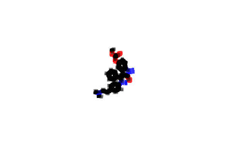 COC(=O)Oc1ccc2c(c1)/C(=C(/Nc1ccc(CCN(C)C)cc1)c1ccccc1)C(=O)N2